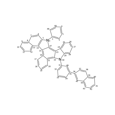 c1ccc(-n2c3ccc4ccccc4c3c3c4ccccc4c4c(c5ccccc5n4-c4cccc(-c5ccc6ccccc6c5)c4)c32)cc1